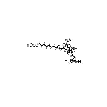 CCCCCCCCCCCCCCCCCCOCC(COP(=O)(O)OCCN(C)C)OC(=O)CC(C)=O